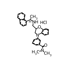 C[C@@H](NCC1CN(c2cccc(C(=O)N(C)C)c2)c2ccccc2O1)c1cccc2ccccc12.Cl